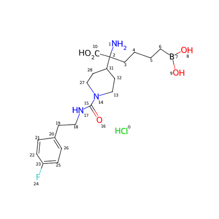 Cl.NC(CCCCB(O)O)(C(=O)O)C1CCN(C(=O)NCCc2ccc(F)cc2)CC1